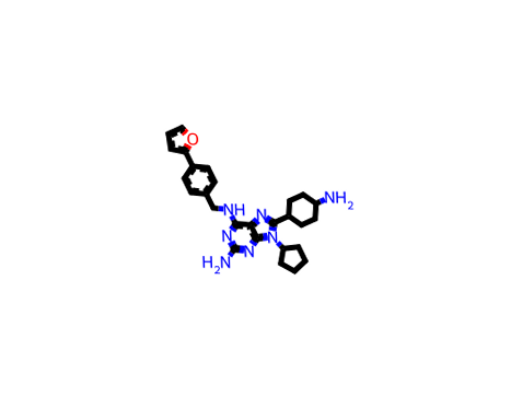 Nc1nc(NCc2ccc(-c3ccco3)cc2)c2nc(C3CCC(N)CC3)n(C3CCCC3)c2n1